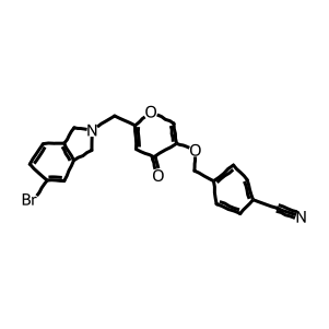 N#Cc1ccc(COc2coc(CN3Cc4ccc(Br)cc4C3)cc2=O)cc1